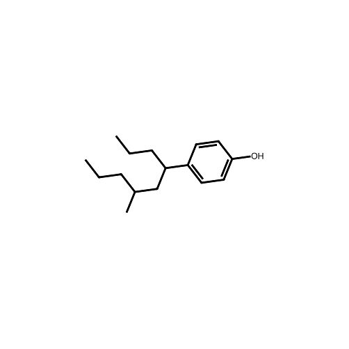 CCCC(C)CC(CCC)c1ccc(O)cc1